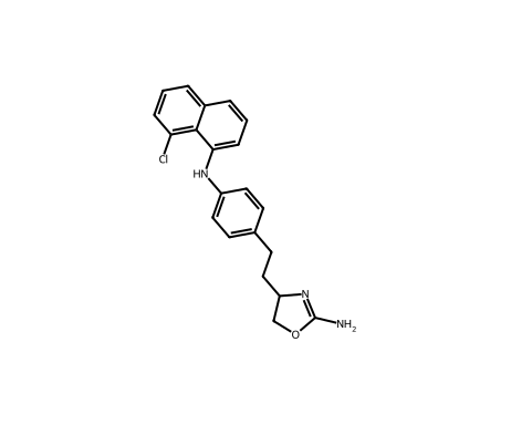 NC1=NC(CCc2ccc(Nc3cccc4cccc(Cl)c34)cc2)CO1